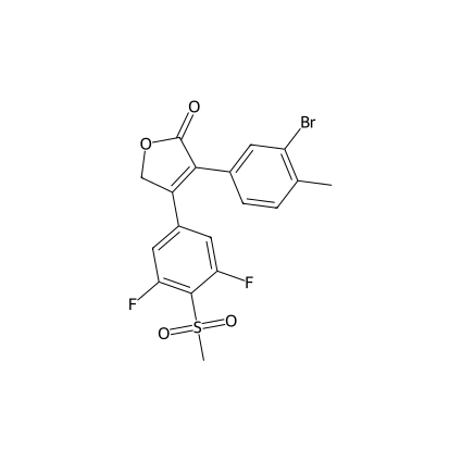 Cc1ccc(C2=C(c3cc(F)c(S(C)(=O)=O)c(F)c3)COC2=O)cc1Br